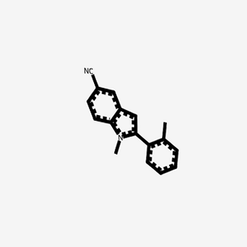 Cc1ccccc1-c1cc2cc(C#N)ccc2n1C